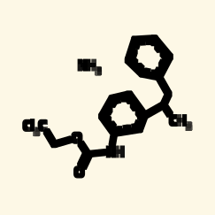 CC(Cc1ccccc1)c1cccc(NC(=O)OCC(Cl)(Cl)Cl)c1.N